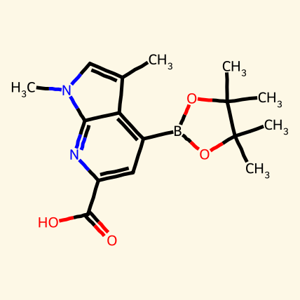 Cc1cn(C)c2nc(C(=O)O)cc(B3OC(C)(C)C(C)(C)O3)c12